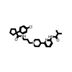 CC(C)C(=O)Nc1cccc(C2CCN(CCCNC(=O)C3(c4ccc(Cl)cc4)CCCC3)CC2)n1